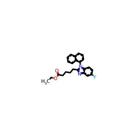 CCOC(=O)CCCCc1nc2cc(F)ccc2n1-c1cccc2ccccc12